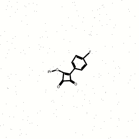 CC(C)Oc1c(-c2ccc(F)cc2)c(=O)c1=O